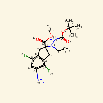 CCN(NC(=O)OC(C)(C)C)C1(C(=O)OC)Cc2c(F)cc(N)c(F)c2C1